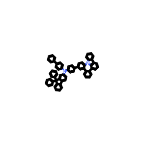 c1ccc(-c2ccc(N(c3ccc(-c4ccc5c(c4)-c4ccccc4-c4cccc6c7ccccc7n-5c46)cc3)c3ccc4c(c3)C(c3ccccc3)(c3ccccc3)c3ccccc3-4)cc2)cc1